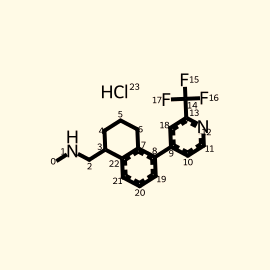 CNCC1CCCc2c(-c3ccnc(C(F)(F)F)c3)cccc21.Cl